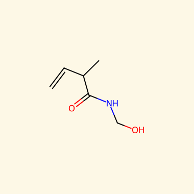 C=CC(C)C(=O)NCO